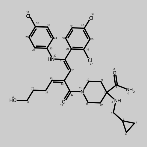 NC(=O)C1(NCC2CC2)CCN(C(=O)C(=C\CCCO)/C=C(\Nc2ccc(Cl)cc2)c2ccc(Cl)cc2Cl)CC1